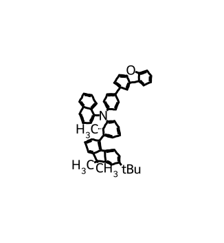 C[C@H]1C(c2cccc3c2-c2ccc(C(C)(C)C)cc2C3(C)C)=CC=CC=C1N(c1ccc(-c2ccc3oc4ccccc4c3c2)cc1)c1cccc2ccccc12